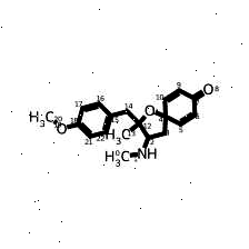 CNC1CC2(C=CC(=O)C=C2)OC1(C)Cc1ccc(OC)cc1